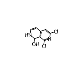 OC1NC=Cc2cc(Cl)nc(Cl)c21